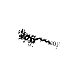 Cn1nc(-c2ccc(NS(=O)(=O)C(F)F)c(F)c2)c2c(N)ncc(C#CCCCCCCC(=O)O)c21